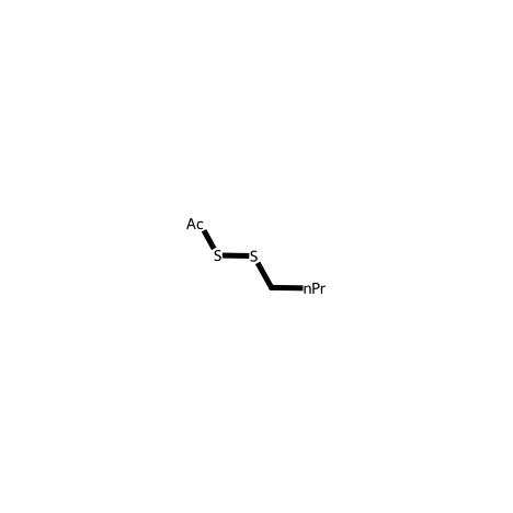 CCCCSSC(C)=O